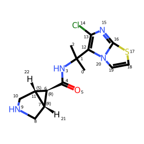 CC(C)(NC(=O)[C@H]1[C@@H]2CNC[C@@H]21)c1c(Cl)nc2sccn12